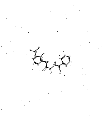 Cc1c(NC(=O)C(C)NC(=O)c2ccccc2)cccc1C(C)C